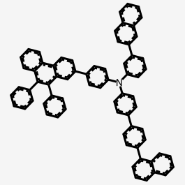 c1ccc(-c2c(-c3ccccc3)c3cc(-c4ccc(N(c5ccc(-c6ccc(-c7cccc8ccccc78)cc6)cc5)c5cccc(-c6ccc7ccccc7c6)c5)cc4)ccc3c3ccccc23)cc1